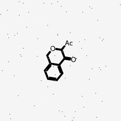 CC(=O)C1OCc2ccccc2C1=O